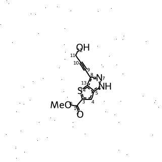 COC(=O)c1cc2[nH]nc(C#CCO)c2s1